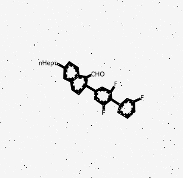 CCCCCCCc1ccc2c(C=O)c(-c3cc(F)c(-c4cccc(F)c4)c(F)c3)ccc2c1